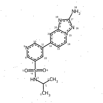 CC(C)NS(=O)(=O)c1cncc(-c2ccn3nc(N)nc3c2)c1